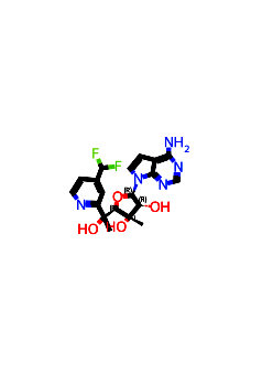 CC(O)(c1cc(C(F)F)ccn1)[C@H]1O[C@@H](n2ccc3c(N)ncnc32)[C@H](O)[C@]1(C)O